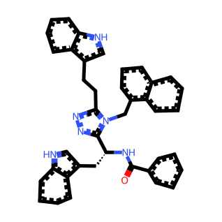 O=C(N[C@H](Cc1c[nH]c2ccccc12)c1nnc(CCc2c[nH]c3ccccc23)n1Cc1cccc2ccccc12)c1ccccc1